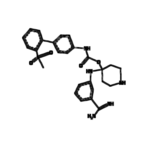 CS(=O)(=O)c1ccccc1-c1ccc(NC(=O)OC2(Nc3cccc(C(=N)N)c3)CCNCC2)cc1